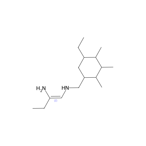 CC/C(N)=C/NCC1CC(CC)C(C)C(C)C1C